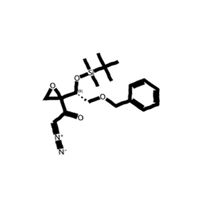 CC(C)(C)[Si](C)(C)O[C@H](COCc1ccccc1)C1(C(=O)C=[N+]=[N-])CO1